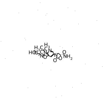 CC(C)(C)n1/c(=N\CCO)oc2cc(N3C[C@H](C(N)=O)OC3=O)cnc21